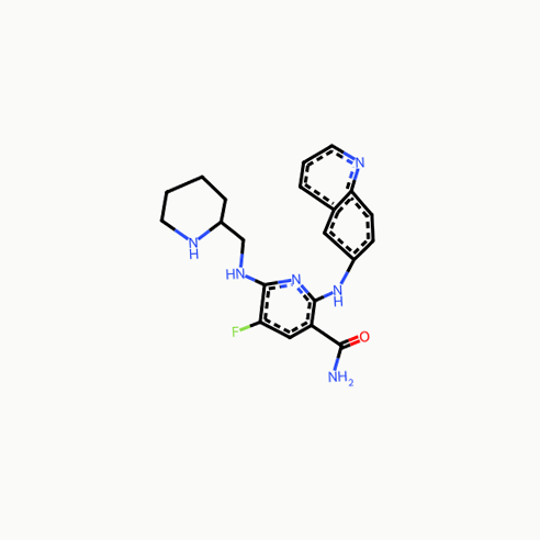 NC(=O)c1cc(F)c(NCC2CCCCN2)nc1Nc1ccc2ncccc2c1